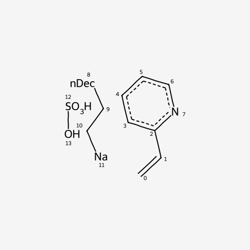 C=Cc1ccccn1.CCCCCCCCCCC[CH2][Na].O=S(=O)(O)O